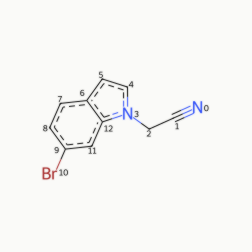 N#CCn1ccc2ccc(Br)cc21